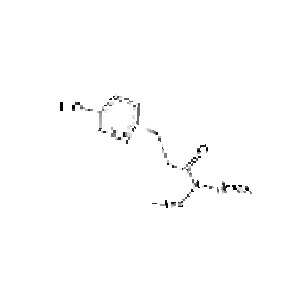 CCCCCCN(CCCCCC)C(=O)CCc1ccc(O)cc1